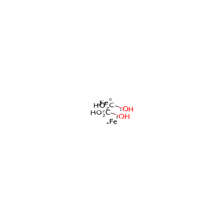 O=C(O)O.O=C(O)O.[Fe].[Fe]